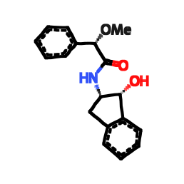 CO[C@H](C(=O)N[C@H]1Cc2ccccc2[C@H]1O)c1ccccc1